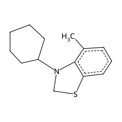 Cc1cccc2c1N(C1CCCCC1)CS2